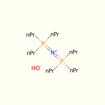 CCCP(CCC)(CCC)=[N+]=P(CCC)(CCC)CCC.[OH-]